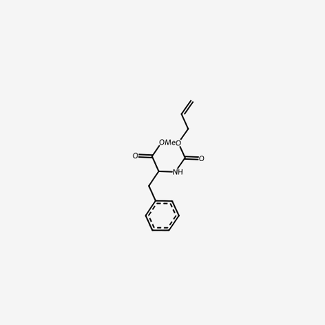 C=CCOC(=O)NC(Cc1ccccc1)C(=O)OC